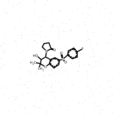 CC1(C)Oc2ccc(S(=O)(=O)c3ccc(F)cc3)cc2C(N2CCCC2=O)C1O